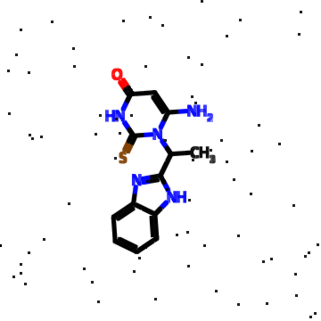 CC(c1nc2ccccc2[nH]1)n1c(N)cc(=O)[nH]c1=S